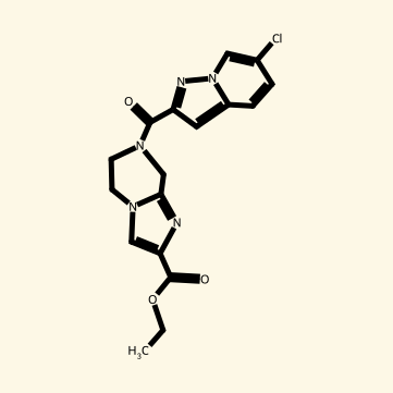 CCOC(=O)c1cn2c(n1)CN(C(=O)c1cc3ccc(Cl)cn3n1)CC2